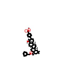 C=C(OCc1ccccc1)[C@]12CCC(C)(C)C[C@H]1C1=CC[C@@H]3[C@@]4(C)CC=C(c5ccc(C(=O)OC)cc5)C(C)(C)[C@@H]4CC[C@@]3(C)[C@]1(C)CC2